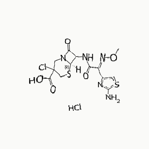 CON=C(C(=O)NC1C(=O)N2CC(Cl)(C(=O)O)CS[C@H]12)c1csc(N)n1.Cl